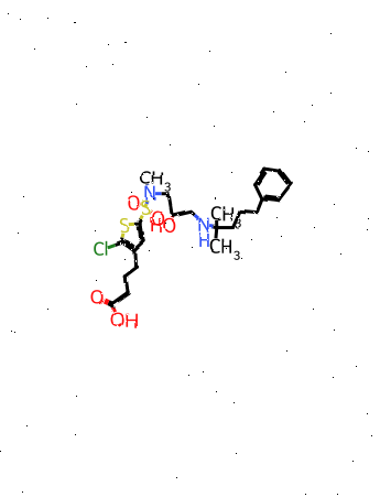 CN(C[C@H](O)CNC(C)(C)CCCc1ccccc1)S(=O)(=O)c1cc(CCCC(=O)O)c(Cl)s1